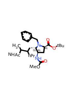 CCCC(C[C@H]1[C@H](NC(=O)OC)C[C@H](C(=O)OC(C)(C)C)N1Cc1ccccc1)C(C)NC(C)=O